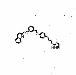 c1cc(COc2ccc(CCCCc3nnn[nH]3)cc2)cc(OCc2ccc3ccccc3n2)c1